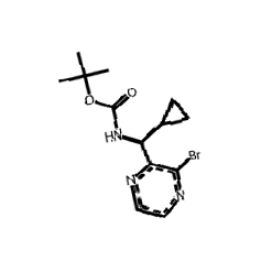 CC(C)(C)OC(=O)NC(c1nccnc1Br)C1CC1